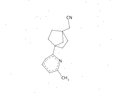 Cc1cccc(C23CCC(CC#N)(CC2)C3)n1